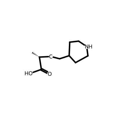 C[C@H](CCC1CCNCC1)C(=O)O